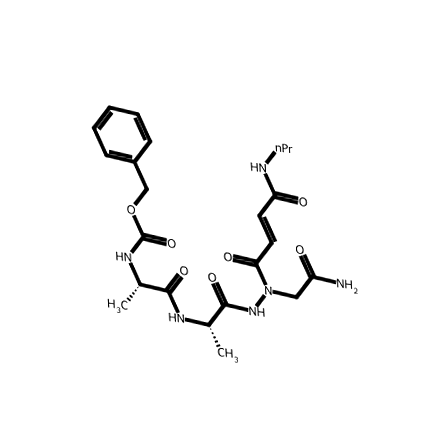 CCCNC(=O)/C=C/C(=O)N(CC(N)=O)NC(=O)[C@H](C)NC(=O)[C@H](C)NC(=O)OCc1ccccc1